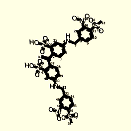 C=C(c1ccc(NCc2ccc(S(C)(=O)=O)c([N+](=O)[O-])c2)cc1S(=O)(=O)O)c1ccc(NCc2ccc(S(C)(=O)=O)c([N+](=O)[O-])c2)cc1S(=O)(=O)O